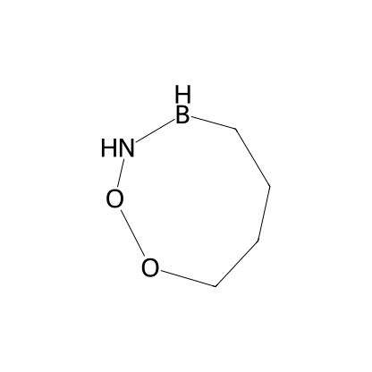 B1CCCCOON1